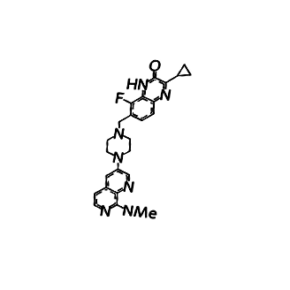 CNc1nccc2cc(N3CCN(Cc4ccc5nc(C6CC6)c(=O)[nH]c5c4F)CC3)cnc12